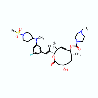 CCCS(=O)(=O)N1CCC(N(C)c2cc(F)cc(/C=C(\C)[C@H]3OC(=O)C[C@@H](O)CC[C@@H](C)[C@H](OC(=O)N4CCN(C)CC4)/C=C/[C@@H]3C)c2)CC1